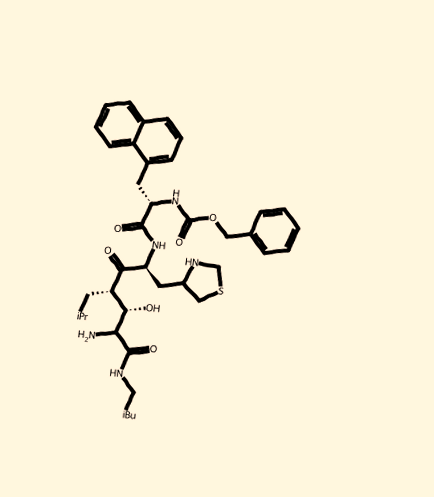 CCC(C)CNC(=O)C(N)[C@@H](O)[C@H](CC(C)C)C(=O)[C@H](CC1CSCN1)NC(=O)[C@H](Cc1cccc2ccccc12)NC(=O)OCc1ccccc1